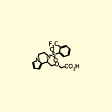 O=C(O)COCC1c2cccn2CCN1S(=O)(=O)c1ccccc1C(F)(F)F